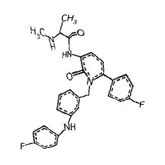 CNC(C)C(=O)Nc1ccc(-c2ccc(F)cc2)n(Cc2cccc(Nc3ccc(F)cc3)c2)c1=O